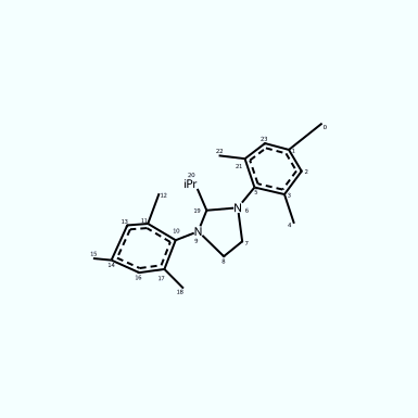 Cc1cc(C)c(N2CCN(c3c(C)cc(C)cc3C)C2C(C)C)c(C)c1